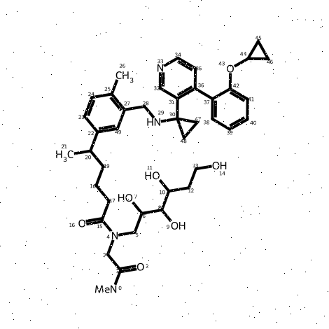 CNC(=O)CN(CC(O)C(O)C(O)CCO)C(=O)CCCC(C)c1ccc(C)c(CNC2(c3cnccc3-c3ccccc3OC3CC3)CC2)c1